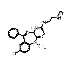 CC(C)NCCNC(=S)NC1N=C(c2ccccc2)c2cc(Cl)ccc2N(C)C1=O